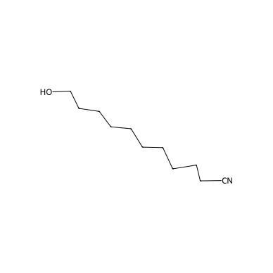 N#CCCCCCCCCCCO